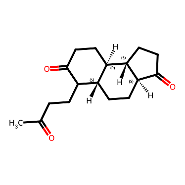 CC(=O)CCC1C(=O)CC[C@H]2[C@@H]3CCC(=O)[C@H]3CC[C@H]12